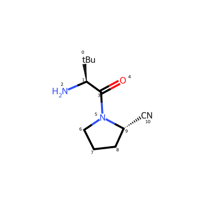 CC(C)(C)[C@H](N)C(=O)N1CCC[C@H]1C#N